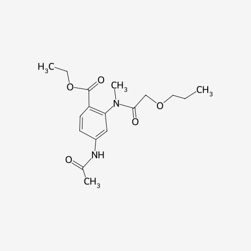 CCCOCC(=O)N(C)c1cc(NC(C)=O)ccc1C(=O)OCC